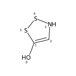 OC1=CNSS1